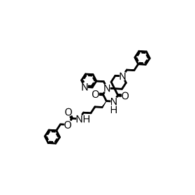 O=C(NCCCC[C@@H]1NC(=O)C2(CCN(CCc3ccccc3)CC2)N(Cc2cccnc2)C1=O)OCc1ccccc1